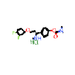 CN[C@@H](CCOc1ccc(F)c(F)c1)c1ccc(OC(=O)N(C)C)cc1.Cl